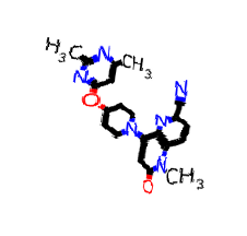 Cc1cc(OC2CCN(c3cc(=O)n(C)c4ccc(C#N)nc34)CC2)nc(C)n1